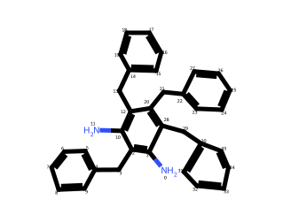 Nc1c(Cc2ccccc2)c(N)c(Cc2ccccc2)c(Cc2ccccc2)c1Cc1ccccc1